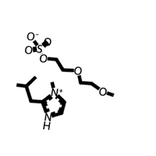 CC(C)Cc1[nH]cc[n+]1C.COCCOCCOS(=O)(=O)[O-]